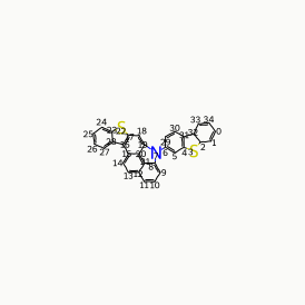 C1=CC2Sc3cc(-n4c5cccc6ccc7c8c(cc4c7c65)sc4ccccc48)ccc3C2C=C1